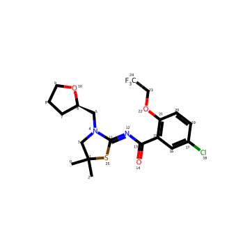 CC1(C)CN(C[C@H]2CCCO2)/C(=N/C(=O)c2cc(Cl)ccc2OCC(F)(F)F)S1